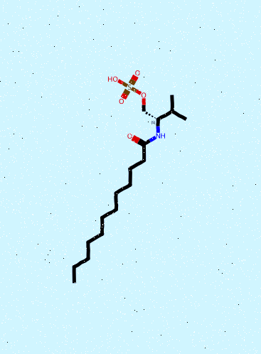 CCCCCCCCCCCC(=O)N[C@H](COS(=O)(=O)O)C(C)C